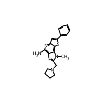 Cn1c(CN2CCCC2)nc2c(N)nc3cc(-c4ccccc4)sc3c21